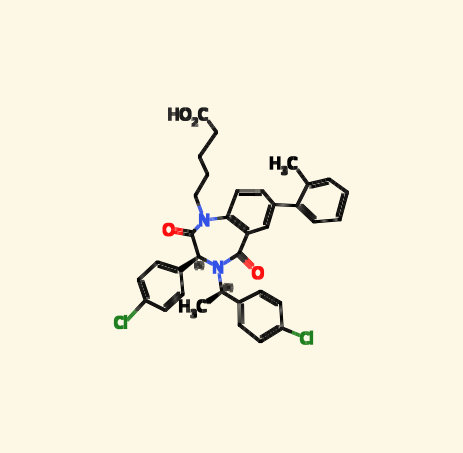 Cc1ccccc1-c1ccc2c(c1)C(=O)N([C@H](C)c1ccc(Cl)cc1)[C@@H](c1ccc(Cl)cc1)C(=O)N2CCCCC(=O)O